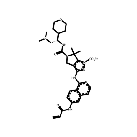 C=CC(=O)Nc1ccc2c(Nc3nn(C(=O)OCC)c4c3CN(C(=O)N[C@H](CN(C)C)C3CCOCC3)C4(C)C)nccc2c1